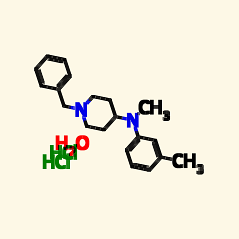 Cc1cccc(N(C)C2CCN(Cc3ccccc3)CC2)c1.Cl.Cl.O